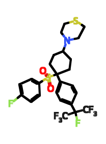 O=S(=O)(c1ccc(F)cc1)C1(c2ccc(C(F)(C(F)(F)F)C(F)(F)F)cc2)CCC(N2CCSCC2)CC1